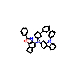 c1ccc(-c2cccc(N(c3ccc4c5ccccc5n(-c5ccccc5)c4c3)c3cc4ccccc4c4oc(-c5ccccc5)nc34)c2)cc1